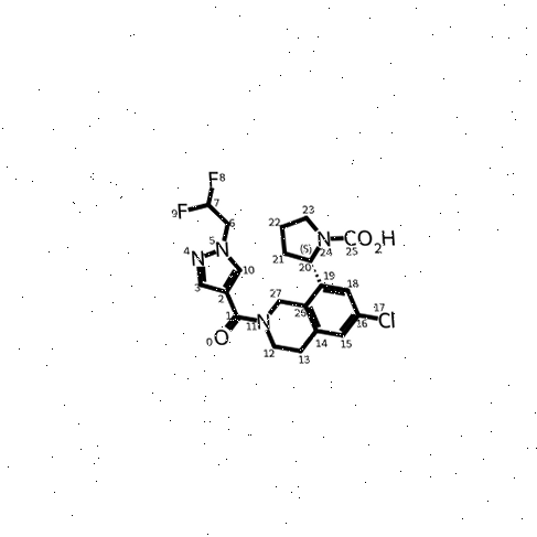 O=C(c1cnn(CC(F)F)c1)N1CCc2cc(Cl)cc([C@@H]3CCCN3C(=O)O)c2C1